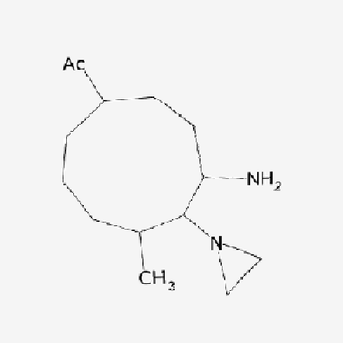 CC(=O)C1CCCC(C)C(N2CC2)C(N)CC1